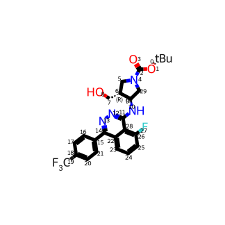 CC(C)(C)OC(=O)N1C[C@@H](CO)[C@H](Nc2nnc(-c3ccc(C(F)(F)F)cc3)c3cccc(F)c23)C1